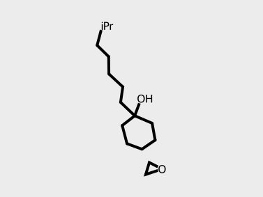 C1CO1.CC(C)CCCCCC1(O)CCCCC1